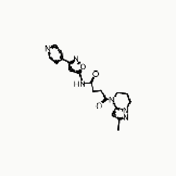 Cc1cc2n(n1)CCCN2C(=O)CCC(=O)Nc1cc(-c2ccncc2)no1